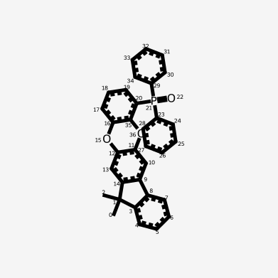 CC1(C)c2ccccc2-c2cc3c(cc21)Oc1cccc(P(=O)(c2ccccc2)c2ccccc2)c1O3